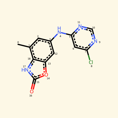 Cc1cc(Nc2cc(Cl)ncn2)cc2oc(=O)[nH]c12